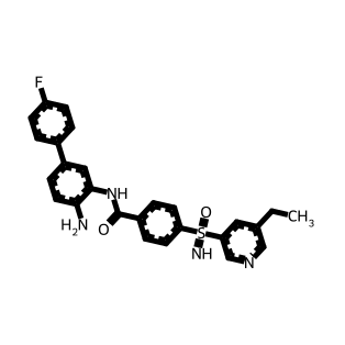 CCc1cncc(S(=N)(=O)c2ccc(C(=O)Nc3cc(-c4ccc(F)cc4)ccc3N)cc2)c1